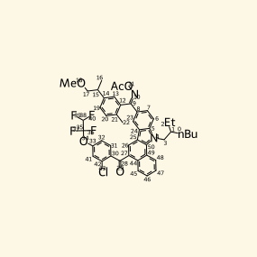 CCCCC(CC)Cn1c2ccc(/C(=N/OC(C)=O)c3cc(C(C)COC)ccc3C)cc2c2cc(C(=O)c3ccc(OC(F)(F)C(F)F)cc3Cl)c3ccccc3c21